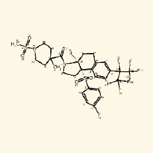 CC1(C(=O)N2CC[C@]3(S(=O)(=O)c4ccc(F)cc4)c4ccc(C(F)(C(F)(F)F)C(F)(F)F)cc4CC[C@H]23)CCN(S(C)(=O)=O)CC1